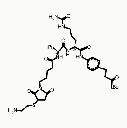 CC(C)[C@H](NC(=O)CCCCN1C(=O)CC(SCCN)C1=O)C(=O)N[C@@H](CCCNC(N)=O)C(=O)Nc1ccc(CCC(=O)C(C)(C)C)cc1